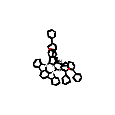 c1ccc(-c2ccc(-c3cc(-c4cccc(-c5ccccc5)c4)cc(-n4c5ccccc5c5ccc6c7ccccc7n(-c7nc(-c8ccccc8)nc(-c8cccc(-c9ccccc9)c8)n7)c6c54)c3)cc2)cc1